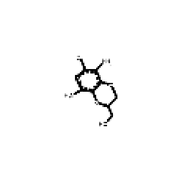 Nc1cc(Cl)c(N)c2c1OC(CO)CO2